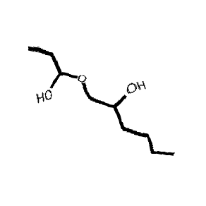 CCCCC(O)COC(O)CC